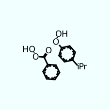 CC(C)c1ccc(OO)cc1.O=C(OO)c1ccccc1